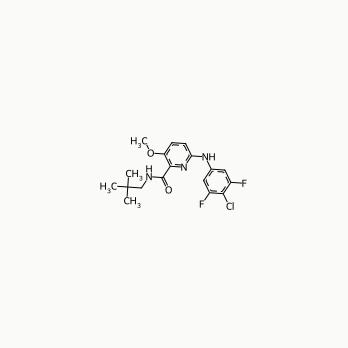 COc1ccc(Nc2cc(F)c(Cl)c(F)c2)nc1C(=O)NCC(C)(C)C